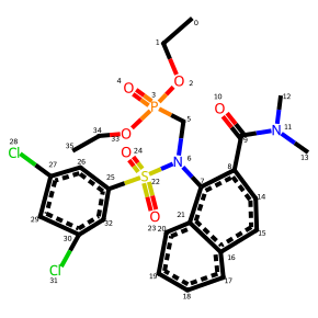 CCOP(=O)(CN(c1c(C(=O)N(C)C)ccc2ccccc12)S(=O)(=O)c1cc(Cl)cc(Cl)c1)OCC